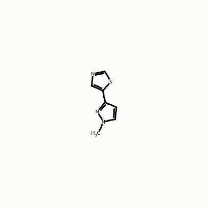 Cn1ccc(-c2cncs2)n1